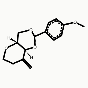 C=C1CCO[C@@H]2COC(c3ccc(OC)cc3)O[C@@H]12